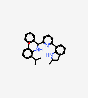 CC1Cc2cccc(-c3cccc(C(Nc4c(C(C)C)cccc4C(C)C)c4ccccc4)n3)c2N1